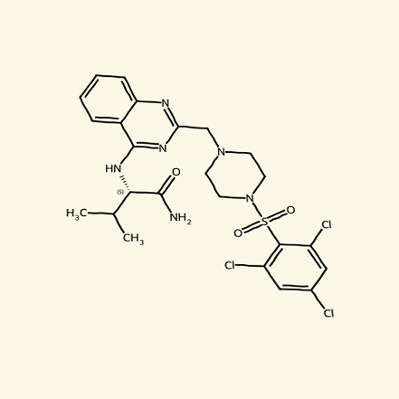 CC(C)[C@H](Nc1nc(CN2CCN(S(=O)(=O)c3c(Cl)cc(Cl)cc3Cl)CC2)nc2ccccc12)C(N)=O